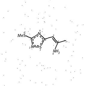 CSc1nsc(C=C(C)N)n1